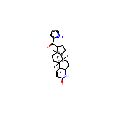 C[C@]12C=CC(=O)NC1CC[C@@H]1[C@H]2CC[C@]2(C)C(C(=O)c3ccc[nH]3)CC[C@@H]12